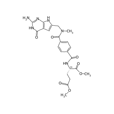 COC(=O)CC[C@H](NC(=O)c1ccc(C(=O)N(C)Cc2cc3c(=O)[nH]c(N)nc3[nH]2)cc1)C(=O)OC